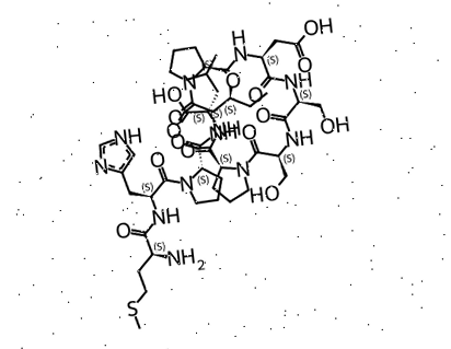 CC[C@H](C)[C@H](NC(=O)[C@@H]1CCCN1C(=O)[C@H](Cc1c[nH]cn1)NC(=O)[C@@H](N)CCSC)C(=O)N1CCC[C@H]1C(=O)N[C@@H](CC(=O)O)C(=O)N[C@@H](CO)C(=O)N[C@@H](CO)C(=O)N1CCC[C@H]1C(=O)N[C@@H](CC(C)C)C(=O)O